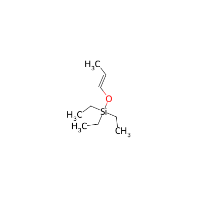 CC=CO[Si](CC)(CC)CC